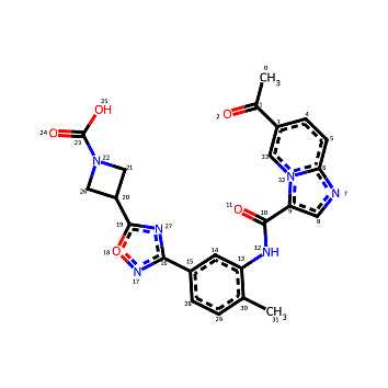 CC(=O)c1ccc2ncc(C(=O)Nc3cc(-c4noc(C5CN(C(=O)O)C5)n4)ccc3C)n2c1